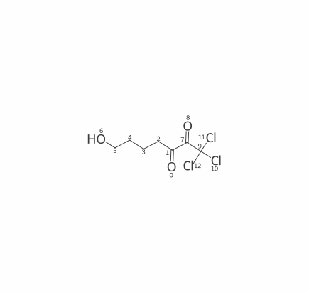 O=C(CCCCO)C(=O)C(Cl)(Cl)Cl